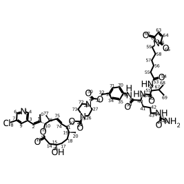 C/C(=C\c1cncc(Cl)c1)[C@H]1OC(=O)C[C@H](O)CC[C@H](C)[C@@H](OC(=O)N2CCN(C(=O)OCc3ccc(NC(=O)[C@H](CCCNC(N)=O)NC(=O)[C@@H](NC(=O)CCCCCN4C(=O)C=CC4=O)C(C)C)cc3)CC2)/C=C/[C@@H]1C